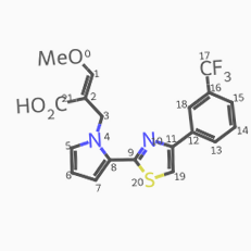 CO/C=C(/Cn1cccc1-c1nc(-c2cccc(C(F)(F)F)c2)cs1)C(=O)O